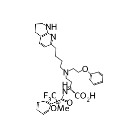 CO[C@](C(=O)N[C@@H](CCN(CCCCc1ccc2c(n1)NCCC2)CCOc1ccccc1)C(=O)O)(c1ccccc1)C(F)(F)F